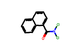 O=C(c1cccc2ccccc12)N(Cl)Cl